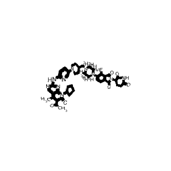 [2H]C1([2H])N(CC2CCN(c3ccc(Nc4ncc5c(C)c(C(C)=O)c(=O)n(C6CCCC6)c5n4)nc3)CC2)C([2H])([2H])C([2H])([2H])N(c2ccc3c(c2F)C(=O)N(C2CCC(=O)NC2=O)C3=O)C1([2H])[2H]